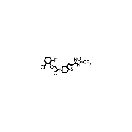 O=C(COc1c(F)cccc1Cl)N1CCc2sc(-c3noc(C(F)(F)F)n3)cc2C1